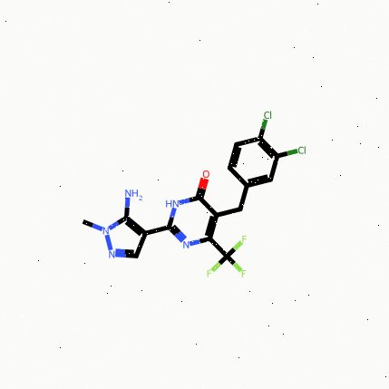 Cn1ncc(-c2nc(C(F)(F)F)c(Cc3ccc(Cl)c(Cl)c3)c(=O)[nH]2)c1N